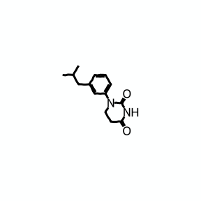 CC(C)Cc1cccc(N2CCC(=O)NC2=O)c1